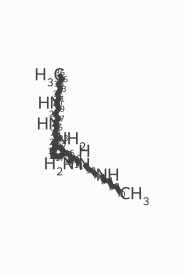 CCCCCCNCCCNCCC(N)Cc1cccc(CC(N)CCNCCCNCCCCCC)c1